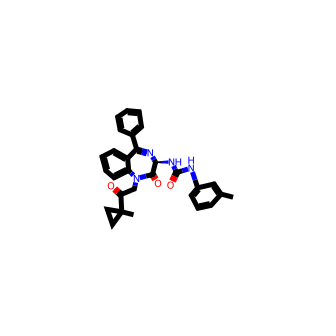 Cc1cccc(NC(=O)N[C@@H]2N=C(c3ccccc3)c3ccccc3N(CC(=O)C3(C)CC3)C2=O)c1